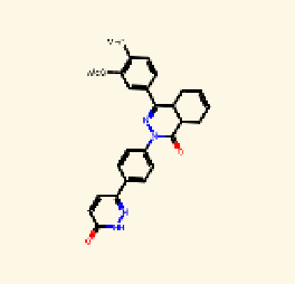 COc1ccc(C2=NN(c3ccc(-c4ccc(=O)[nH]n4)cc3)C(=O)C3CC=CCC23)cc1OC